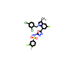 Cc1cn(Cc2ccc(Cl)cc2Cl)c2c(-c3nnc(NS(=O)(=O)c4ccc(F)c(F)c4)o3)cc(F)cc12